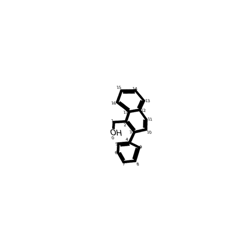 OCc1c(-c2ccccc2)ccc2ccccc12